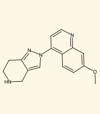 COc1ccc2c(-n3cc4c(n3)CCNC4)ccnc2c1